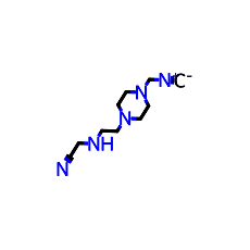 [C-]#[N+]CN1CCN(CCNCC#N)CC1